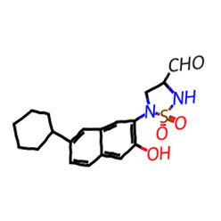 O=CC1CN(c2cc3cc(C4CCCCC4)ccc3cc2O)S(=O)(=O)N1